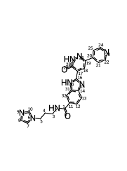 O=C(NCCCn1ccnc1)c1ccc2nc(-c3cc(-c4ccncc4)n[nH]c3=O)[nH]c2c1